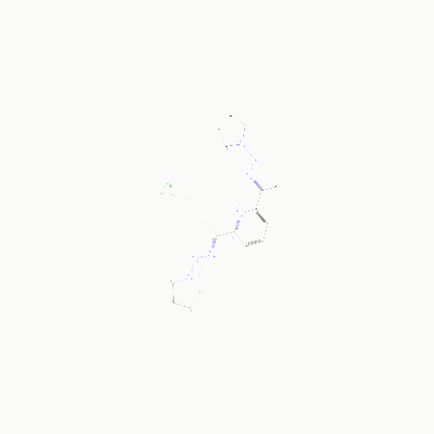 CC(=NNN1CCCC1)c1cccc(C(C)=NNN2CCCC2)n1.[Cl-].[Cl-].[Co+2]